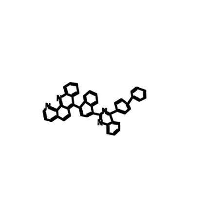 c1ccc(-c2ccc(-c3nc(-c4ccc(-c5c6ccccc6nc6c5ccc5cccnc56)c5ccccc45)nc4ccccc34)cc2)cc1